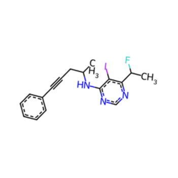 CC(CC#Cc1ccccc1)Nc1ncnc(C(C)F)c1I